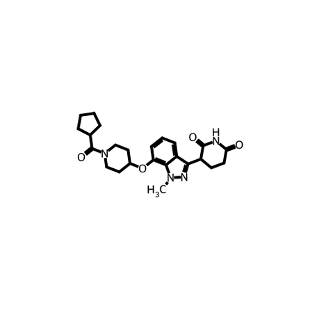 Cn1nc(C2CCC(=O)NC2=O)c2cccc(OC3CCN(C(=O)C4CCCC4)CC3)c21